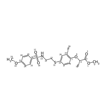 COC(=O)C(F)Oc1ccc(SCCNS(=O)(=O)c2ccc(OC)cc2)cc1F